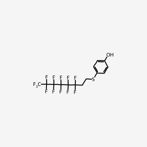 Oc1ccc(SCCC(F)(F)C(F)(F)C(F)(F)C(F)(F)C(F)(F)C(F)(F)F)cc1